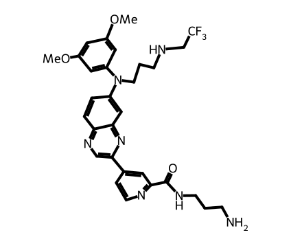 COc1cc(OC)cc(N(CCCNCC(F)(F)F)c2ccc3ncc(-c4ccnc(C(=O)NCCCN)c4)nc3c2)c1